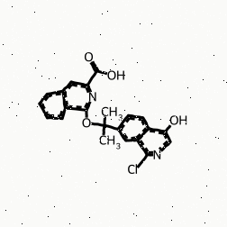 CC(C)(Oc1nc(C(=O)O)cc2ccccc12)c1ccc2c(O)cnc(Cl)c2c1